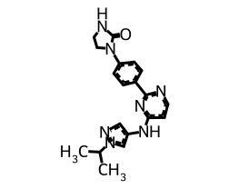 CC(C)n1cc(Nc2ccnc(-c3ccc(N4CCNC4=O)cc3)n2)cn1